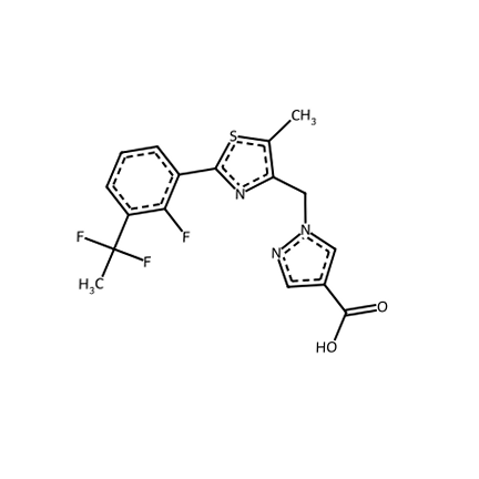 Cc1sc(-c2cccc(C(C)(F)F)c2F)nc1Cn1cc(C(=O)O)cn1